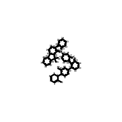 CC1=CC=CCC1c1ccc(-c2cccc3sc4cc(-n5c6ccccc6c6ccc7c(c65)C(C)(C)c5ccccc5-7)ccc4c23)cc1C